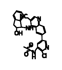 CS(=O)(=O)Nc1cc(-c2ccc3ncc(C#N)c(NC4c5ccccc5CC4O)c3c2)cnc1Cl